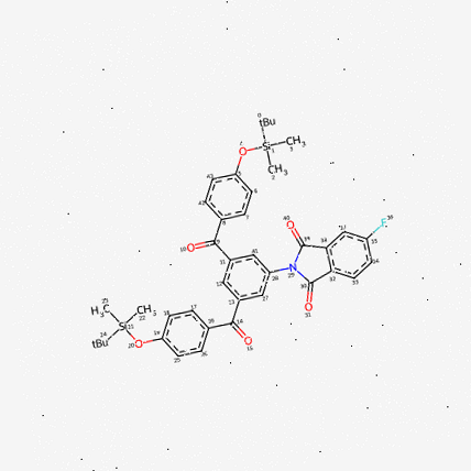 CC(C)(C)[Si](C)(C)Oc1ccc(C(=O)c2cc(C(=O)c3ccc(O[Si](C)(C)C(C)(C)C)cc3)cc(N3C(=O)c4ccc(F)cc4C3=O)c2)cc1